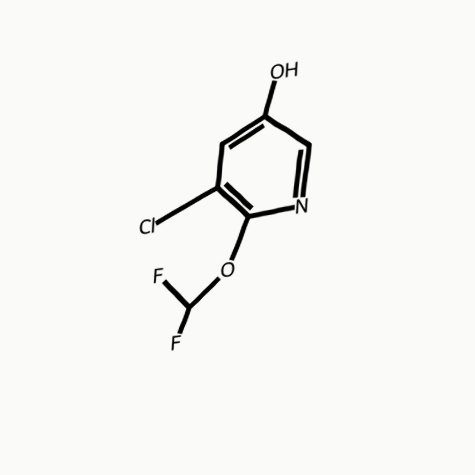 Oc1cnc(OC(F)F)c(Cl)c1